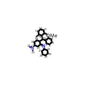 COc1cccc2c1c(-c1c(C)cccc1C)c1ccc(N(C)C)cc1[n+]2-c1ccccc1